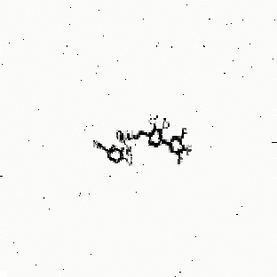 COc1ccc(C#N)cc1S(=O)(=O)NCCc1ccc(-c2cc(F)c(F)c(F)c2)c(OC)c1OC